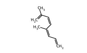 C=C/C=C(C)\C=C/C(=C)C